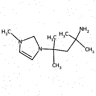 CN1C=CN(C(C)(C)CC(C)(C)N)C1